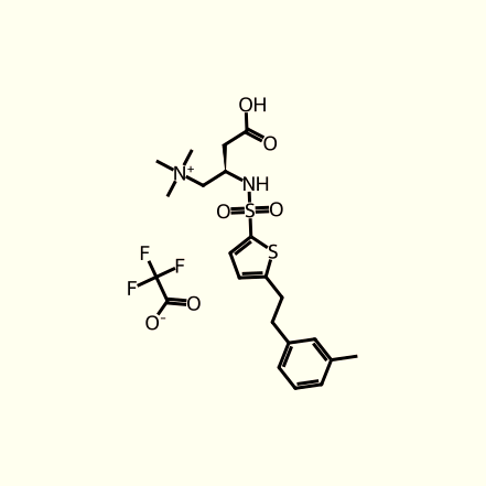 Cc1cccc(CCc2ccc(S(=O)(=O)N[C@H](CC(=O)O)C[N+](C)(C)C)s2)c1.O=C([O-])C(F)(F)F